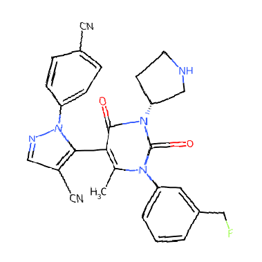 Cc1c(-c2c(C#N)cnn2-c2ccc(C#N)cc2)c(=O)n([C@@H]2CCNC2)c(=O)n1-c1cccc(CF)c1